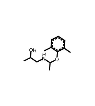 Cc1cccc(C)c1OC(C)NCC(C)O